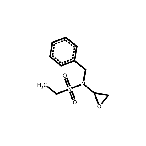 CCS(=O)(=O)N(Cc1ccccc1)C1CO1